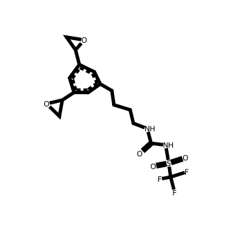 O=C(NCCCCc1cc(C2CO2)cc(C2CO2)c1)NS(=O)(=O)C(F)(F)F